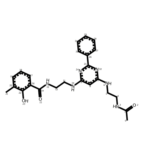 CC(=O)NCCNc1cc(NCCNC(=O)c2cccc(C)c2O)nc(-c2ccccc2)n1